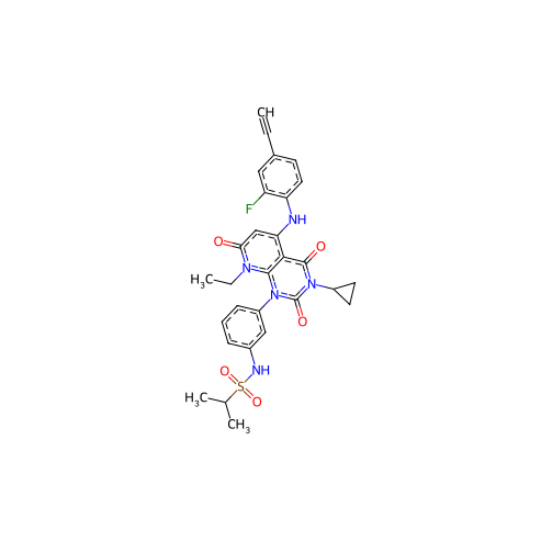 C#Cc1ccc(Nc2cc(=O)n(CC)c3c2c(=O)n(C2CC2)c(=O)n3-c2cccc(NS(=O)(=O)C(C)C)c2)c(F)c1